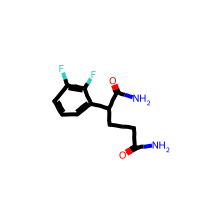 NC(=O)CCC(C(N)=O)c1cccc(F)c1F